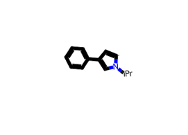 CC(C)n1[c]cc(-c2ccccc2)c1